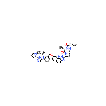 COC(=O)N[C@H](C(=O)N1C(c2nc3ccc4cc5c(cc4c3[nH]2)OCc2cc(-c3cnc([C@@H]4C[C@H](C)CN4C(=O)O)[nH]3)ccc2-5)CC[C@@H]1C)C(C)C